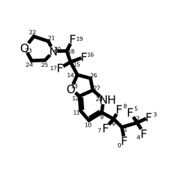 FC(C(F)(F)F)C(F)(F)C1=CC=C2OC(C(F)(F)C(F)N3CCOCC3)CC2N1